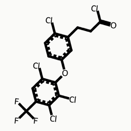 O=C(Cl)CCc1cc(Oc2c(Cl)cc(C(F)(F)F)c(Cl)c2Cl)ccc1Cl